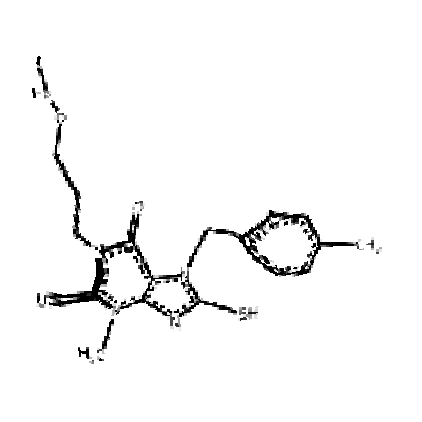 Cc1ccc(Cn2c(S)nc3c2c(=O)n(CCCOPI)c(=O)n3C)cc1